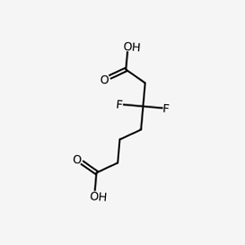 O=C(O)CCCC(F)(F)CC(=O)O